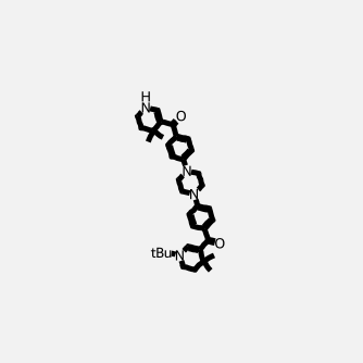 CC1(C)CCNC=C1C(=O)c1ccc(N2CCN(c3ccc(C(=O)C4=CN(C(C)(C)C)CCC4(C)C)cc3)CC2)cc1